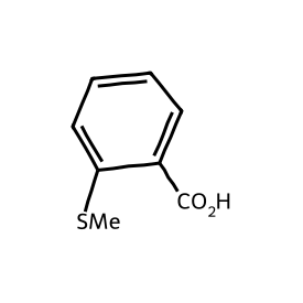 CSc1ccccc1C(=O)O